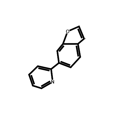 [c]1coc2cc(-c3ccccn3)ccc12